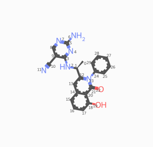 C[C@H](Nc1nc(N)ncc1C#N)c1cc2cccc(O)c2c(=O)n1-c1ccccc1